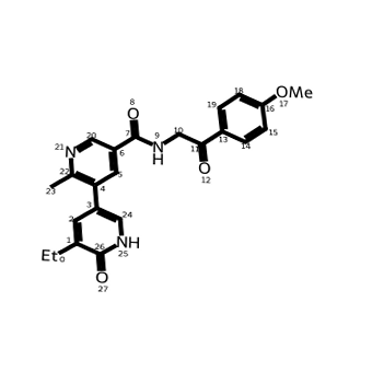 CCc1cc(-c2cc(C(=O)NCC(=O)c3ccc(OC)cc3)cnc2C)c[nH]c1=O